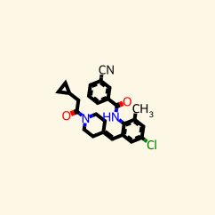 Cc1cc(Cl)cc(C=C2CCN(C(=O)CC3CC3)CC2)c1NC(=O)c1cccc(C#N)c1